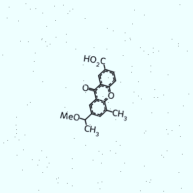 COC(C)c1cc(C)c2oc3ccc(C(=O)O)cc3c(=O)c2c1